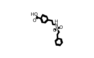 O=C(O)c1ccc(CCNS(=O)(=O)CCc2ccccc2)cc1